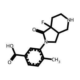 Cc1ccc(C(=O)O)cc1N1CC2CNCCC2(F)C1=O